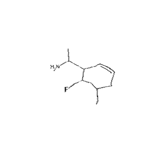 CC(N)C1C=CCC(C)C1F